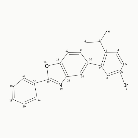 CC(C)c1ccc(Br)cc1-c1ccc2oc(-c3ccccc3)nc2c1